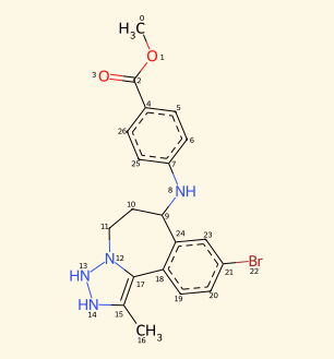 COC(=O)c1ccc(NC2CCN3NNC(C)=C3c3ccc(Br)cc32)cc1